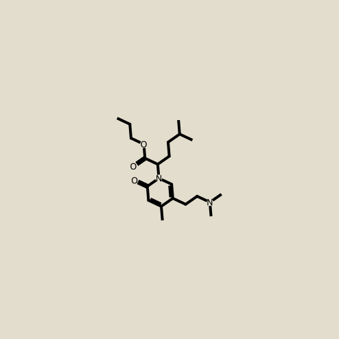 CCCOC(=O)C(CCC(C)C)n1cc(CCN(C)C)c(C)cc1=O